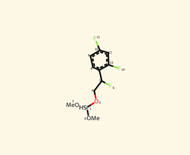 CO[SiH](OC)OCC(F)c1ccc(F)cc1F